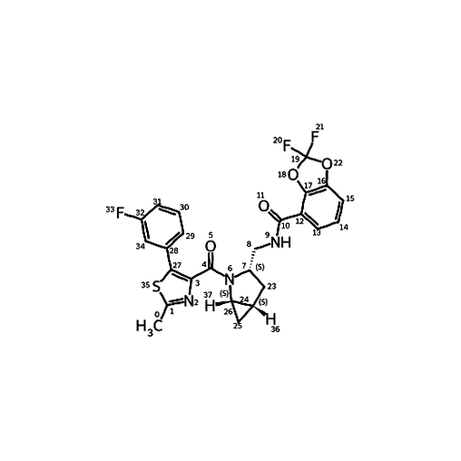 Cc1nc(C(=O)N2[C@H](CNC(=O)c3cccc4c3OC(F)(F)O4)C[C@@H]3C[C@@H]32)c(-c2cccc(F)c2)s1